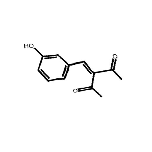 CC(=O)C(=Cc1cccc(O)c1)C(C)=O